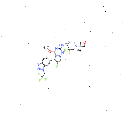 [2H]C1(N2CC[C@@H](Nc3nc(OC)c4c(-c5ccc6nnn(CC(F)(F)F)c6c5)c(F)cn4n3)C(F)(F)C2)COC1